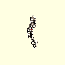 Cc1ccc(S(=O)(=O)CCOCC(F)(F)C(F)(F)C(F)(F)C(F)(F)C(F)(F)OC(F)(F)C(F)(F)OC(F)(F)C(F)(F)C(F)(F)C(F)(F)F)cc1